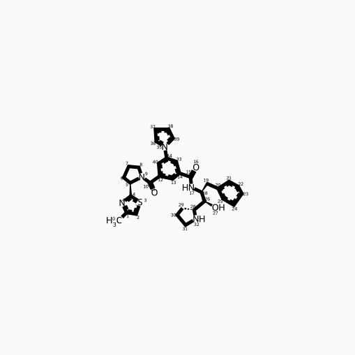 Cc1csc([C@H]2CCCN2C(=O)c2cc(C(=O)N[C@@H](Cc3ccccc3)[C@@H](O)[C@H]3CCCN3)cc(-n3cccc3)c2)n1